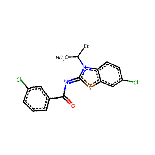 CCC(C(=O)O)n1c(=NC(=O)c2cccc(Cl)c2)sc2cc(Cl)ccc21